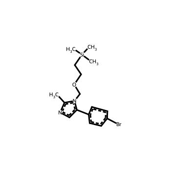 Cc1ncc(-c2ccc(Br)cc2)n1COCC[Si](C)(C)C